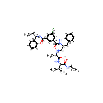 CCNC(=O)[C@@H](NC(=O)[C@H](C)NC[C@H](Cc1ccccc1)NC(=O)c1cc(Cl)cc(C(=O)N[C@H](CC)c2ccccc2)c1)C(C)C